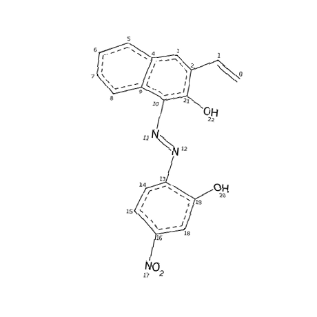 C=Cc1cc2ccccc2c(/N=N/c2ccc([N+](=O)[O-])cc2O)c1O